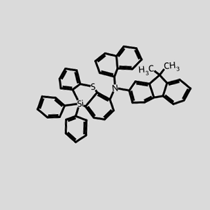 CC1(C)c2ccccc2-c2ccc(N(c3cccc4c3Sc3ccccc3[Si]4(c3ccccc3)c3ccccc3)c3cccc4ccccc34)cc21